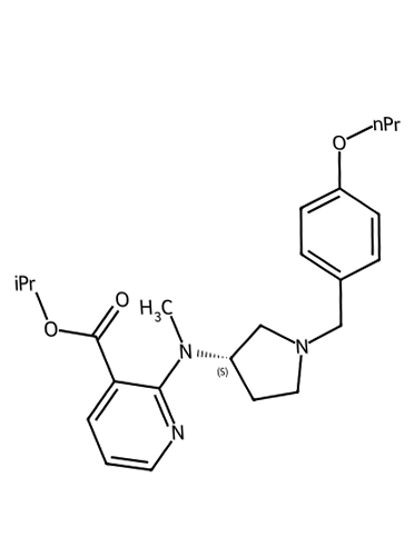 CCCOc1ccc(CN2CC[C@H](N(C)c3ncccc3C(=O)OC(C)C)C2)cc1